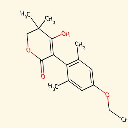 Cc1cc(OCC(F)(F)F)cc(C)c1C1=C(O)C(C)(C)COC1=O